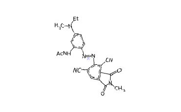 CCN(C)c1ccc(/N=N/c2c(C#N)cc3c(c2C#N)C(=O)N(C)C3=O)c(NC(C)=O)c1